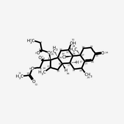 CCC(=O)O[C@]1(C(=O)COC(C)=O)C(C)C[C@H]2[C@@H]3CC(C)C4=CC(=O)CC[C@]4(C)[C@@]3(Cl)C(O)C[C@@]21C